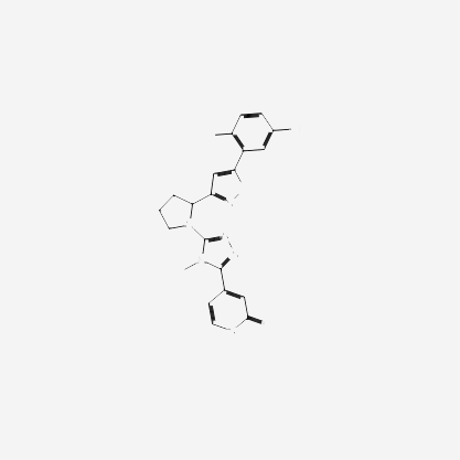 Cn1c(-c2cc[nH]c(=O)c2)nnc1N1CCCC1c1cc(-c2cc(Cl)ccc2F)on1